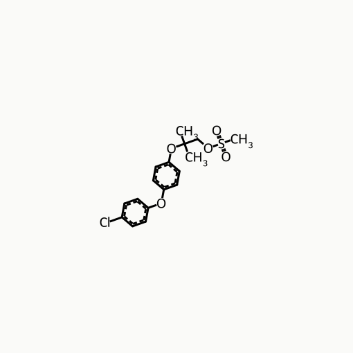 CC(C)(COS(C)(=O)=O)Oc1ccc(Oc2ccc(Cl)cc2)cc1